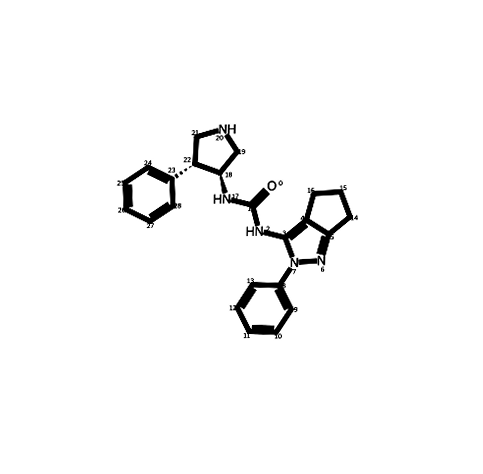 O=C(Nc1c2c(nn1-c1ccccc1)CCC2)N[C@@H]1CNC[C@H]1c1ccccc1